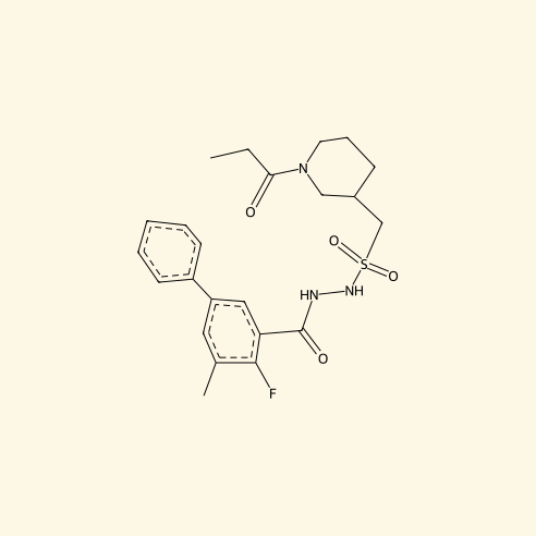 CCC(=O)N1CCCC(CS(=O)(=O)NNC(=O)c2cc(-c3ccccc3)cc(C)c2F)C1